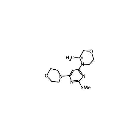 CSc1nc(N2CCOCC2)cc(N2CCOC[C@H]2C)n1